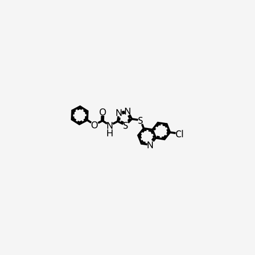 O=C(Nc1nnc(Sc2ccnc3cc(Cl)ccc23)s1)Oc1ccccc1